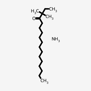 CCCCCCCCCCCCCC(=O)C(C)(C)CC.N